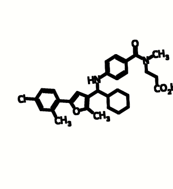 Cc1cc(Cl)ccc1-c1cc(C(Nc2ccc(C(=O)N(C)CCC(=O)O)cc2)C2CCCCC2)c(C)o1